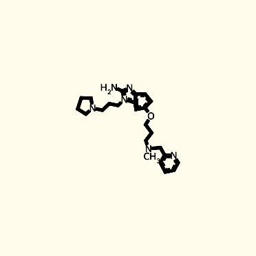 CN(CCCOc1ccc2nc(N)n(CCCN3CCCC3)c2c1)Cc1ccccn1